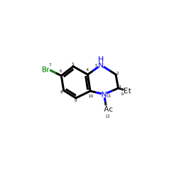 CCC1CNc2cc(Br)ccc2N1C(C)=O